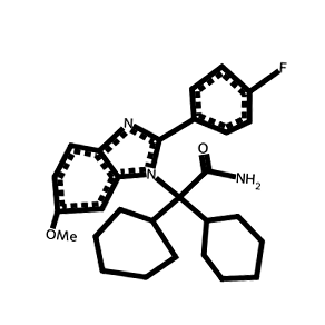 COc1ccc2nc(-c3ccc(F)cc3)n(C(C(N)=O)(C3CCCCC3)C3CCCCC3)c2c1